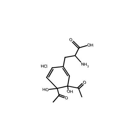 CC(=O)C1(O)C=CC(CC(N)C(=O)O)=CC1(O)C(C)=O.Cl